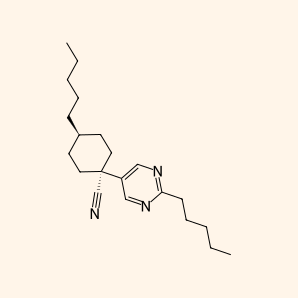 CCCCCc1ncc([C@]2(C#N)CC[C@H](CCCCC)CC2)cn1